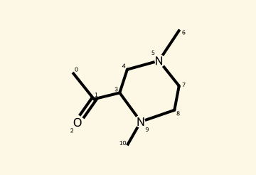 CC(=O)C1CN(C)CCN1C